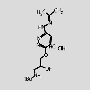 CC(C)=NNc1ccc(OCC(O)CNC(C)(C)C)nn1.Cl.Cl